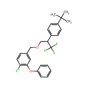 CC(C)(C)c1ccc(C(COCc2ccc(F)c(Oc3ccccc3)c2)C(F)(F)F)cc1